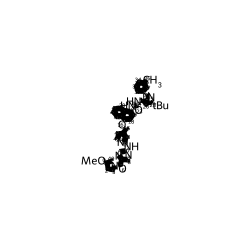 CO[C@@H]1CCN(C(=O)c2cnc(Nc3cc(COc4ccc(NC(=O)Nc5cc(C(C)(C)C)nn5-c5cccc(C)c5)c5ccccc45)ccn3)cn2)C1